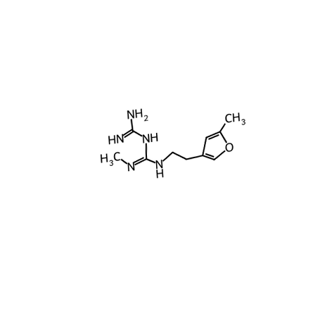 C/N=C(/NCCc1coc(C)c1)NC(=N)N